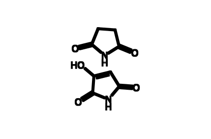 O=C1C=C(O)C(=O)N1.O=C1CCC(=O)N1